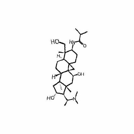 CC(C)C(=O)N[C@H]1CCC23C[C@@]24[C@@H](CC[C@H]3[C@]1(C)CO)[C@]1(C)C[C@@H](O)[C@H]([C@H](C)N(C)C)[C@@]1(C)C[C@@H]4O